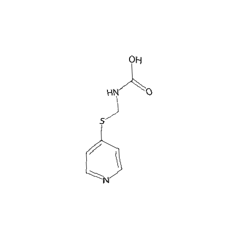 O=C(O)NCSc1ccncc1